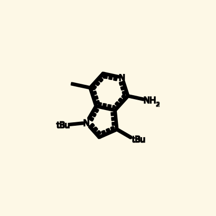 Cc1cnc(N)c2c(C(C)(C)C)cn(C(C)(C)C)c12